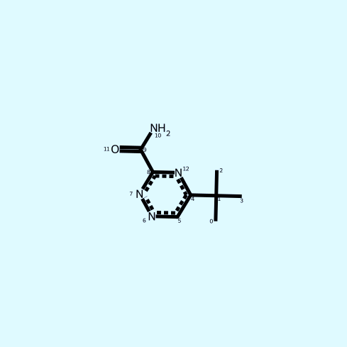 CC(C)(C)c1cnnc(C(N)=O)n1